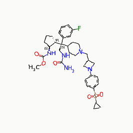 COC(=O)N[C@H]1CCC[C@@H]1[C@](CNC(N)=O)(c1cccc(F)c1)C1CCN(CC2CN(c3ccc(S(=O)(=O)C4CC4)cc3)C2)CC1